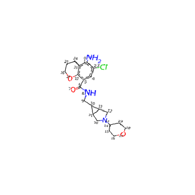 Nc1c(Cl)cc(C(=O)NCC2C3CN(C4CCOCC4)CC23)c2c1CCCO2